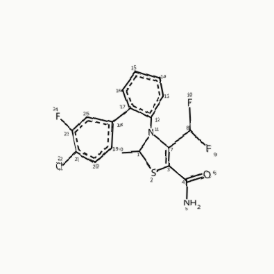 CC1SC(C(N)=O)=C(C(F)F)N1c1ccccc1-c1ccc(Cl)c(F)c1